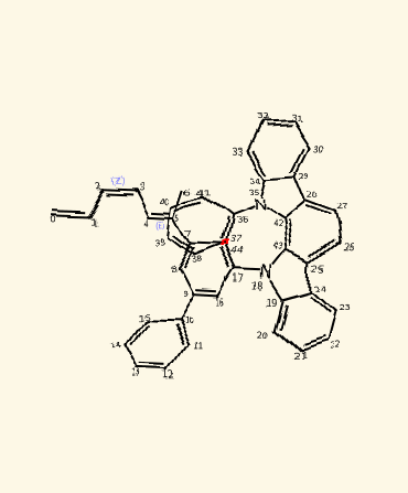 C=C/C=C\C=C(/C)c1cc(-c2ccccc2)cc(-n2c3ccccc3c3ccc4c5ccccc5n(-c5ccccc5)c4c32)c1